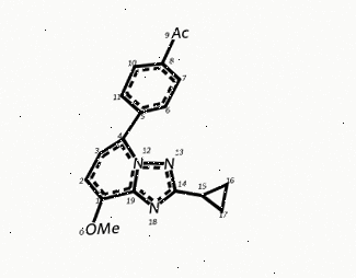 COc1ccc(-c2ccc(C(C)=O)cc2)n2nc(C3CC3)nc12